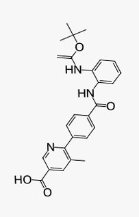 C=C(Nc1ccccc1NC(=O)c1ccc(-c2ncc(C(=O)O)cc2C)cc1)OC(C)(C)C